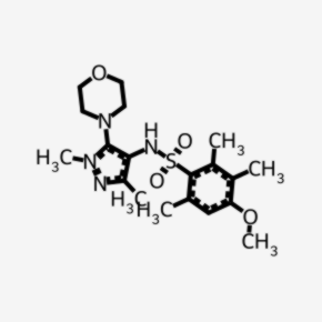 COc1cc(C)c(S(=O)(=O)Nc2c(C)nn(C)c2N2CCOCC2)c(C)c1C